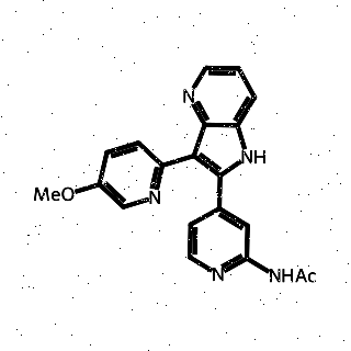 COc1ccc(-c2c(-c3ccnc(NC(C)=O)c3)[nH]c3cccnc23)nc1